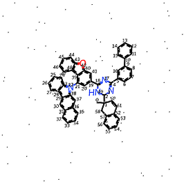 CC1(C2N=C(c3cccc(-c4ccccc4)c3)N=C(c3cc(-n4c5ccccc5c5cc6ccccc6cc54)c4c(c3)oc3ccccc34)N2)C=Cc2ccccc2C1